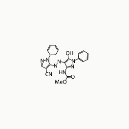 COC(=O)Nc1nn(-c2ccccc2)c(O)c1/N=N/c1c(C#N)cnn1-c1ccccc1